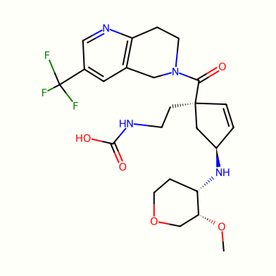 CO[C@@H]1COCC[C@@H]1N[C@@H]1C=C[C@](CCNC(=O)O)(C(=O)N2CCc3ncc(C(F)(F)F)cc3C2)C1